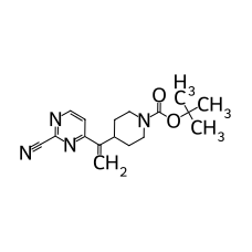 C=C(c1ccnc(C#N)n1)C1CCN(C(=O)OC(C)(C)C)CC1